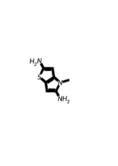 Cn1c(N)cc2sc(N)cc21